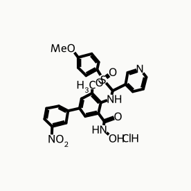 COc1ccc(S(=O)(=O)C(Nc2c(C)cc(-c3cccc([N+](=O)[O-])c3)cc2C(=O)NO)c2cccnc2)cc1.Cl